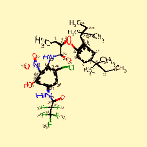 CCC(Oc1ccc(C(C)(C)CC)cc1C(C)(C)CC)C(=O)Nc1c(Cl)cc(NC(=O)C(F)(F)C(F)(F)F)c(O)c1[N+](=O)[O-]